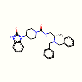 C[C@@H](CNC(=O)N1CCC(n2c(=O)[nH]c3ccccc32)CC1)N(Cc1ccccc1)Cc1ccccc1